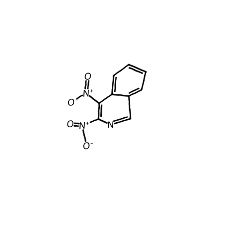 O=[N+]([O-])c1ncc2ccccc2c1[N+](=O)[O-]